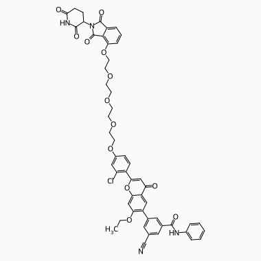 CCOc1cc2oc(-c3ccc(OCCOCCOCCOCCOc4cccc5c4C(=O)N(C4CCC(=O)NC4=O)C5=O)cc3Cl)cc(=O)c2cc1-c1cc(C#N)cc(C(=O)Nc2ccccc2)c1